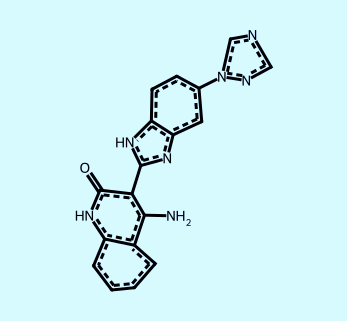 Nc1c(-c2nc3cc(-n4cncn4)ccc3[nH]2)c(=O)[nH]c2ccccc12